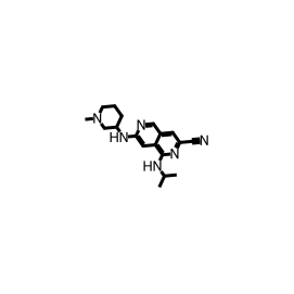 CC(C)Nc1nc(C#N)cc2cnc(NC3CCCN(C)C3)cc12